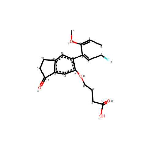 C/C=C(OC)\C(=C/CF)c1cc2c(cc1OCCCC(=O)O)C(=O)CC2